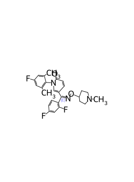 Cc1cc(F)cc(C)c1-n1cc(/C(=N\OC2CCN(C)CC2)c2ccc(F)cc2F)ccc1=O